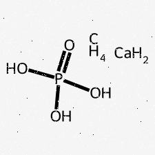 C.O=P(O)(O)O.[CaH2]